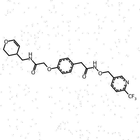 O=C(COc1ccc(CC(=O)NOCc2ccc(C(F)(F)F)nc2)cc1)NCC1C=COCC1